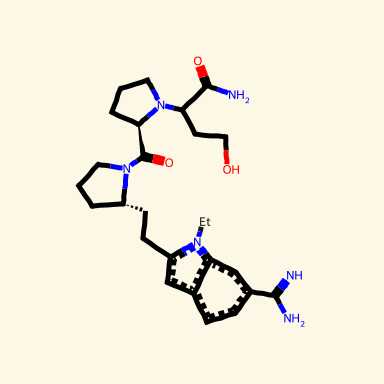 CCn1c(CC[C@@H]2CCCN2C(=O)[C@H]2CCCN2C(CCO)C(N)=O)cc2ccc(C(=N)N)cc21